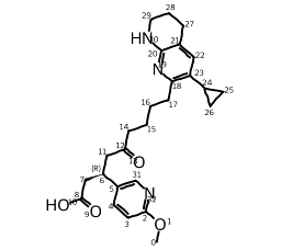 COc1ccc([C@@H](CC(=O)O)CC(=O)CCCCc2nc3c(cc2C2CC2)CCCN3)cn1